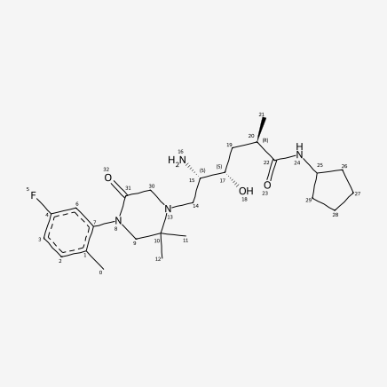 Cc1ccc(F)cc1N1CC(C)(C)N(C[C@H](N)[C@@H](O)C[C@@H](C)C(=O)NC2CCCC2)CC1=O